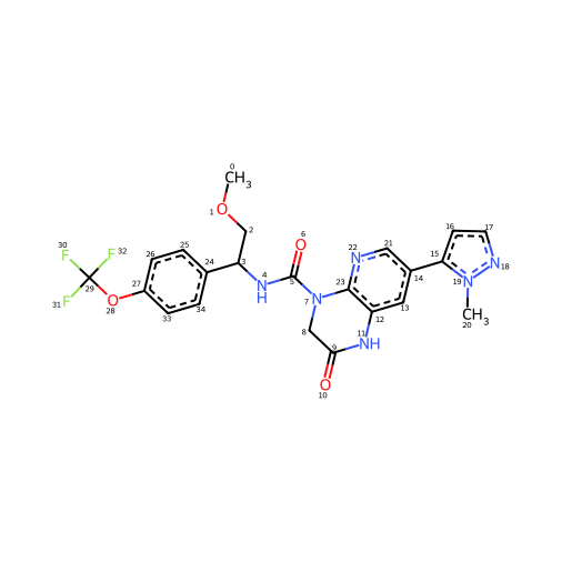 COCC(NC(=O)N1CC(=O)Nc2cc(-c3ccnn3C)cnc21)c1ccc(OC(F)(F)F)cc1